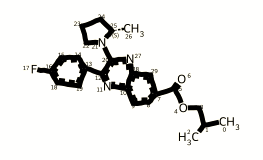 CC(C)COC(=O)c1ccc2nc(-c3ccc(F)cc3)c(N3CCC[C@@H]3C)nc2c1